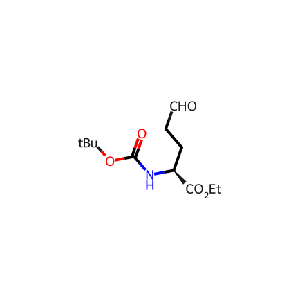 CCOC(=O)[C@H](CCC=O)NC(=O)OC(C)(C)C